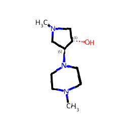 CN1CCN([C@H]2CN(C)C[C@@H]2O)CC1